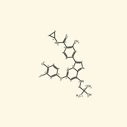 Cc1cc(-c2cnc3c(NCC(C)(C)O)cc(Oc4ccc(Cl)c(F)c4)nn23)ccc1C(=O)NC1CC1